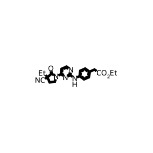 CCOC(=O)Cc1ccc(Nc2nccc(N3CCC(C#N)(CC)C3=O)n2)cc1